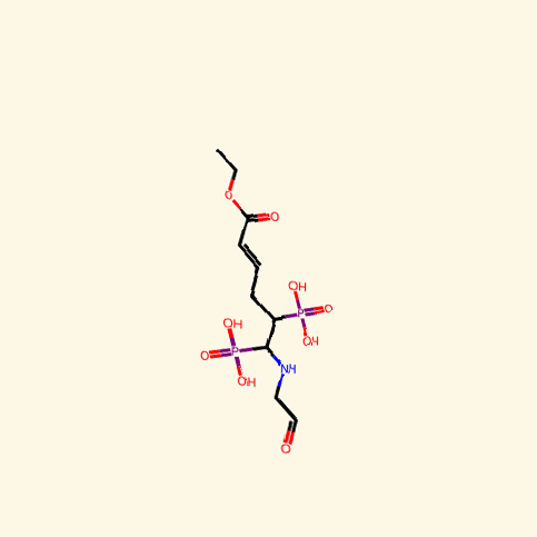 CCOC(=O)C=CCC(C(NCC=O)P(=O)(O)O)P(=O)(O)O